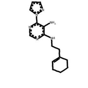 Nc1c(NCCC2=CCCCC2)ncnc1-n1cccn1